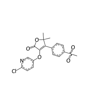 CC1(C)OC(=O)C(Oc2ccc(Cl)nc2)=C1c1ccc(S(C)(=O)=O)cc1